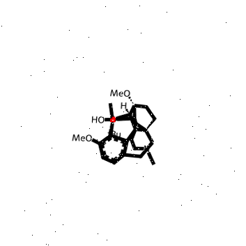 COc1ccc2c3c1O[C@@H]1C34CCN(C)C(C2)[C@]42CC[C@@]1(OC)C([C@](C)(O)C(C)(C)C)C2